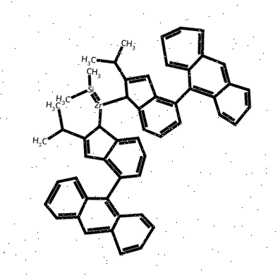 CC(C)C1=Cc2c(-c3c4ccccc4cc4ccccc34)cccc2[CH]1[Zr]([CH]1C(C(C)C)=Cc2c(-c3c4ccccc4cc4ccccc34)cccc21)=[Si](C)C